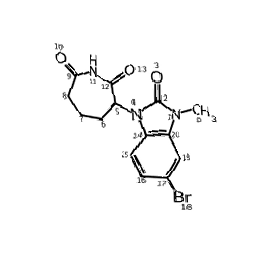 Cn1c(=O)n(C2CCCC(=O)NC2=O)c2ccc(Br)cc21